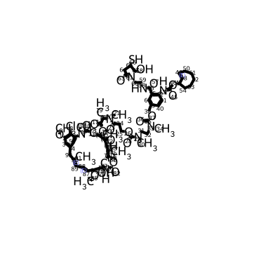 COc1cc2cc(c1Cl)N(C)C(=O)C[C@H](OC(=O)[C@H](C)N(C)C(=O)CCOC(=O)N(C)CCN(C)C(=O)OCc1ccc(NC(=O)OC3/C=C/CCCCC3)c(C(=O)NCCN3C(=O)CC(S)C3O)c1)[C@]1(C)O[C@H]1[C@H](C)[C@@H]1C[C@@](O)(NC(=O)O1)[C@H](OC)/C=C/C=C(\C)C2